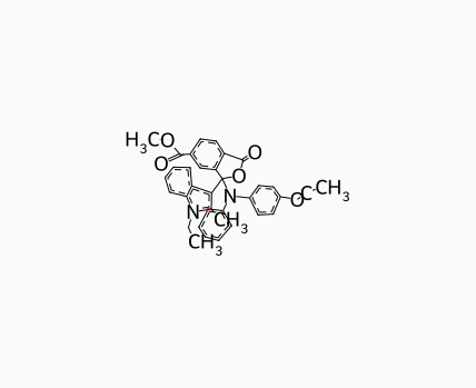 CCOc1ccc(N(c2ccccc2)C2(c3c(C)n(CC)c4ccccc34)OC(=O)c3ccc(C(=O)OC)cc32)cc1